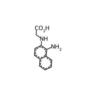 Nc1c(NCC(=O)O)ccc2ccccc12